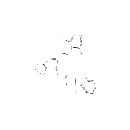 CC(=O)Oc1ccccc1C(C)(C)CC(=O)Oc1nc(SCc2c(C)cncc2Cl)nc2c1CCC2